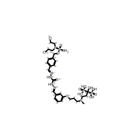 CN(CCCOc1cccc(/C=N/NC(=S)N/N=C/c2ccc(COP(N)(=O)N(CCCl)CCCl)cc2)c1)CCC(O)(P(=O)(O)O)P(=O)(O)O